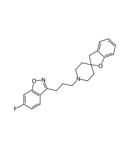 Fc1ccc2c(CCCN3CCC4(CC3)Cc3ccccc3O4)noc2c1